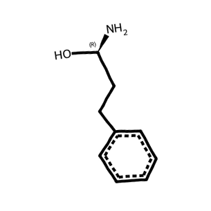 N[C@H](O)CCc1ccccc1